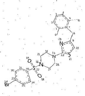 Cc1cccc(C)c1Cc1csc(N2CCN(S(=O)(=O)c3ccc(Br)cc3)CC2)n1